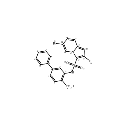 O=C(O)c1ccc(-c2ccccc2)cc1NS(=O)(=O)c1c(Cl)nc2ccc(Br)cn12